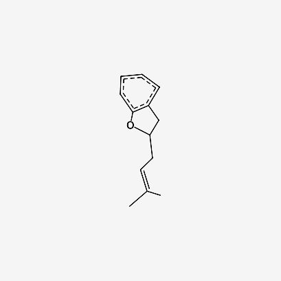 CC(C)=CCC1Cc2ccccc2O1